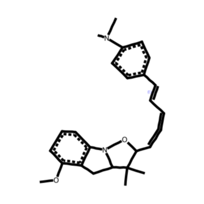 COc1cccc2c1CC1N2OC(C=C=C/C=C/c2ccc(N(C)C)cc2)C1(C)C